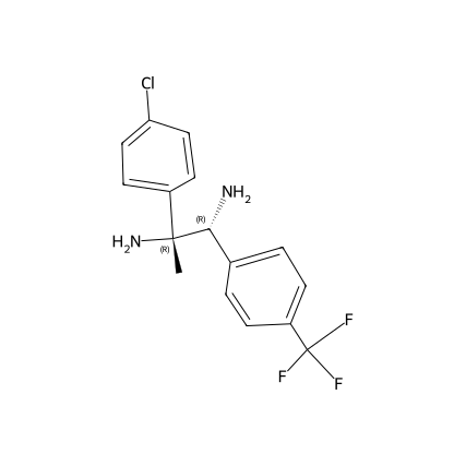 C[C@@](N)(c1ccc(Cl)cc1)[C@H](N)c1ccc(C(F)(F)F)cc1